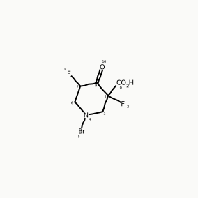 O=C(O)C1(F)CN(Br)CC(F)C1=O